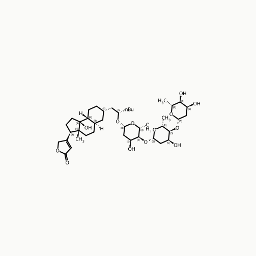 CCCC[C@@H](C[C@H]1CC[C@@H]2[C@H](CC[C@]3(C)[C@@H](C4=CC(=O)OC4)CC[C@]23O)C1)O[C@H]1C[C@H](O)[C@H](O[C@H]2C[C@H](O)[C@H](O[C@H]3C[C@H](O)[C@H](O)[C@@H](C)O3)[C@@H](C)O2)[C@@H](C)O1